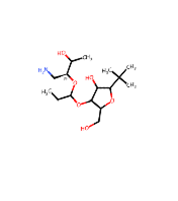 CCC(OC1C(CO)OC(C(C)(C)C)C1O)O[C@@H](CN)C(C)O